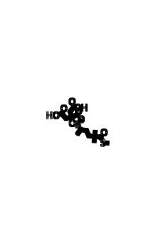 CSC(=O)C(C)(C)CCC(C)B1OC(=O)C(CC(=O)O)(CC(=O)O)O1